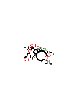 CC[C@H]1[C@@H]2C(=O)C(Cl)(Cl)C(=O)[C@H](C)C(=O)O[C@@H](C)/C=C/C=C\[C@@H](C)[C@@H]2C=C[C@@H]1C[C@@](C)(O)COCCCCO